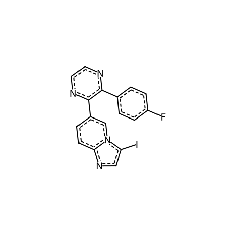 Fc1ccc(-c2nccnc2-c2ccc3ncc(I)n3c2)cc1